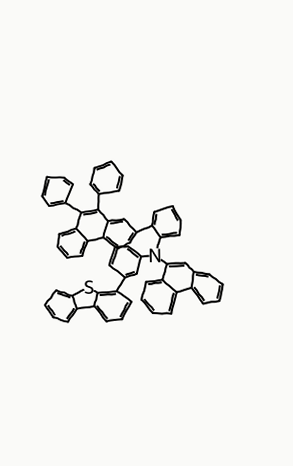 c1ccc(-c2c(-c3ccccc3)c3cc(-c4ccccc4N(c4cccc(-c5cccc6c5sc5ccccc56)c4)c4cc5ccccc5c5ccccc45)ccc3c3ccccc23)cc1